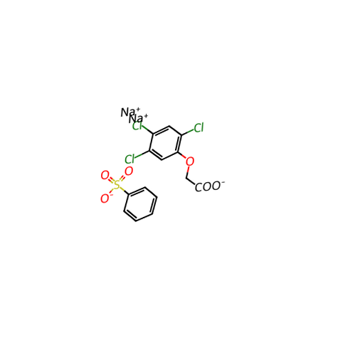 O=C([O-])COc1cc(Cl)c(Cl)cc1Cl.O=S(=O)([O-])c1ccccc1.[Na+].[Na+]